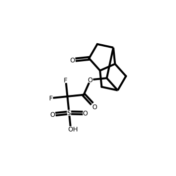 O=C1CC2C3CC(CC13)C2OC(=O)C(F)(F)S(=O)(=O)O